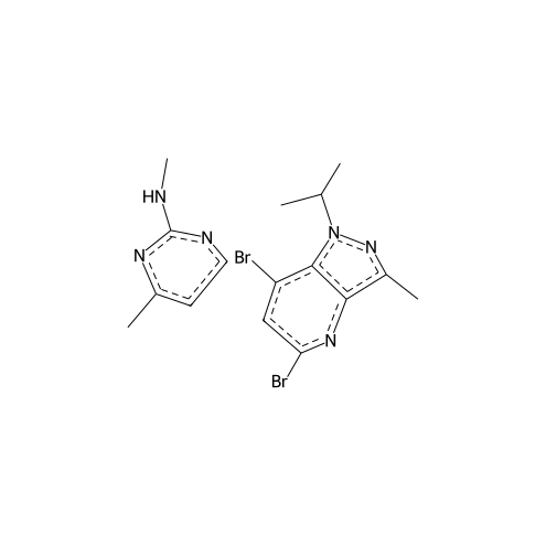 CNc1nccc(C)n1.Cc1nn(C(C)C)c2c(Br)cc(Br)nc12